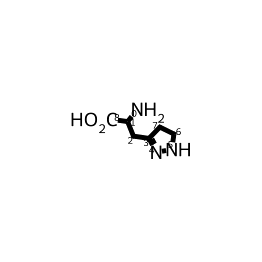 NC(CC1=NNCC1)C(=O)O